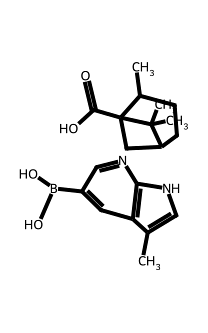 CC1CCC2CC1(C(=O)O)C2(C)C.Cc1c[nH]c2ncc(B(O)O)cc12